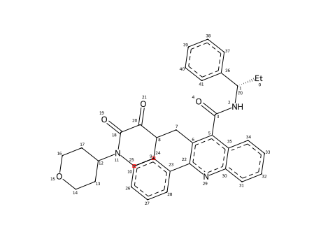 CC[C@H](NC(=O)c1c(CC2CCN(C3CCOCC3)C(=O)C2=O)c(-c2ccccc2)nc2ccccc12)c1ccccc1